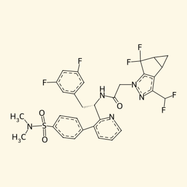 CN(C)S(=O)(=O)c1ccc(-c2cccnc2[C@H](Cc2cc(F)cc(F)c2)NC(=O)Cn2nc(C(F)F)c3c2C(F)(F)C2CC32)cc1